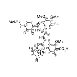 CNCCN1CCN(C(=O)NC(C(=O)NC(Cc2ccc(F)c(C(=O)O)c2OC)B2O[C@@H]3C[C@@H]4C[C@@H](C4(C)C)[C@]3(C)O2)c2cc(F)c(OC)c(OC)c2Cl)C(=O)C1=O